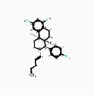 CCC/C=C/[C@@H]1CC[C@H]2c3cc(F)cc(F)c3CC[C@@H]2[C@H]1c1ccc(F)cc1